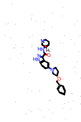 O=C(N[C@@H]1CN2CCC1CC2)c1n[nH]c2ccc(N3CCC(OCc4ccccc4)C3)cc12